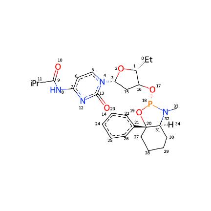 CC[C@H]1O[C@@H](n2ccc(NC(=O)C(C)C)nc2=O)CC1O[P@@]1O[C@@]2(c3ccccc3)CCCC[C@@H]2N1C